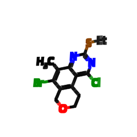 CCSc1nc(Cl)c2c3c(c(Br)c(C)c2n1)COCC3